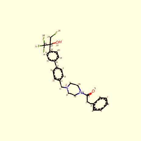 O=C(Cc1ccccc1)N1CCN(Cc2ccc(-c3ccc(C(O)(CF)C(F)(F)F)cc3)cc2)CC1